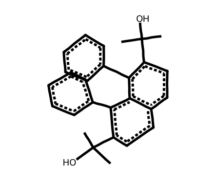 CC(C)(O)c1ccc2ccc(C(C)(C)O)c(-c3ccccc3)c2c1-c1ccccc1